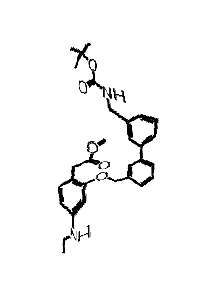 CCNc1ccc(CC(=O)OC)c(OCc2cccc(-c3cccc(CNC(=O)OC(C)(C)C)c3)c2)c1